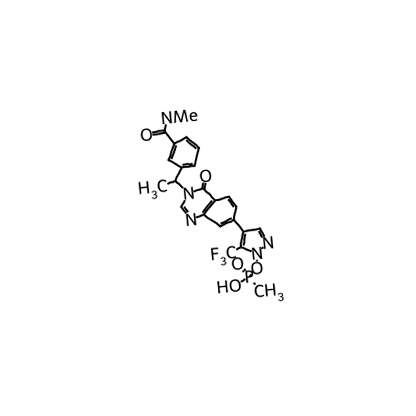 CNC(=O)c1cccc(C(C)n2cnc3cc(-c4cnn(OP(C)(=O)O)c4C(F)(F)F)ccc3c2=O)c1